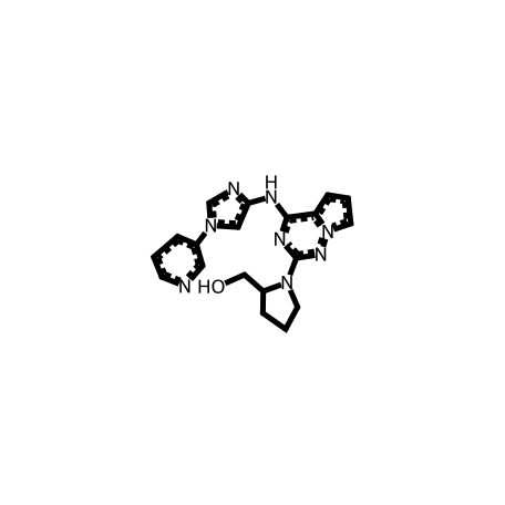 OCC1CCCN1c1nc(Nc2cn(-c3cccnc3)cn2)c2cccn2n1